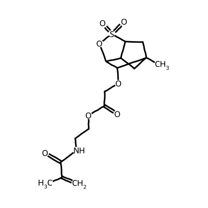 C=C(C)C(=O)NCCOC(=O)COC1C2OS(=O)(=O)C3CC1(C)CC23